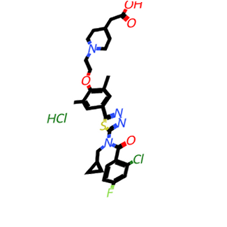 Cc1cc(-c2nnc(N(CC3CC3)C(=O)c3ccc(F)cc3Cl)s2)cc(C)c1OCCN1CCC(CC(=O)O)CC1.Cl